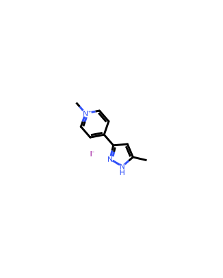 Cc1cc(-c2cc[n+](C)cc2)n[nH]1.[I-]